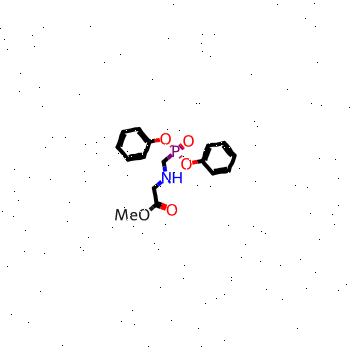 COC(=O)CNCP(=O)(Oc1ccccc1)Oc1ccccc1